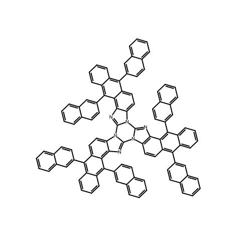 c1ccc2cc(-c3c4ccccc4c(-c4ccc5ccccc5c4)c4c3ccc3c4nc4n3c3nc5c6c(-c7ccc8ccccc8c7)c7ccccc7c(-c7ccc8ccccc8c7)c6ccc5n3c3nc5c6c(-c7ccc8ccccc8c7)c7ccccc7c(-c7ccc8ccccc8c7)c6ccc5n43)ccc2c1